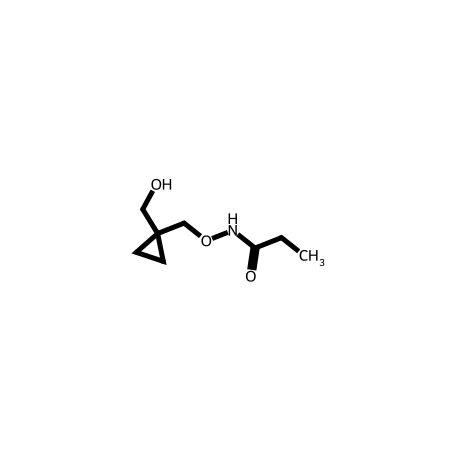 CCC(=O)NOCC1(CO)CC1